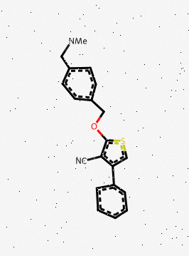 CNCc1ccc(COc2scc(-c3ccccc3)c2C#N)cc1